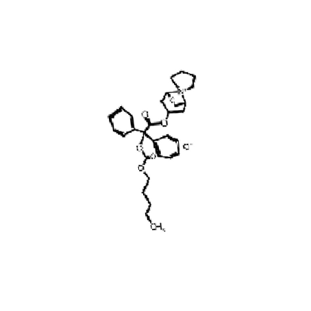 CCCCCOC(=O)OC(C(=O)OC1CC2CCC(C1)[N+]21CCCC1)(c1ccccc1)c1ccccc1.[Cl-]